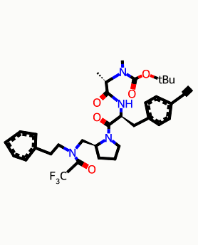 C#Cc1ccc(C[C@H](NC(=O)[C@H](C)N(C)C(=O)OC(C)(C)C)C(=O)N2CCC[C@H]2CN(CCc2ccccc2)C(=O)C(F)(F)F)cc1